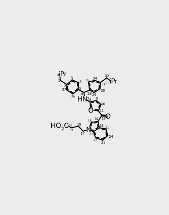 CC(C)Cc1ccc(C(Nc2ccc(C(=O)c3cn(CCCC(=O)O)c4ccccc34)o2)c2ccc(CC(C)C)cc2)cc1